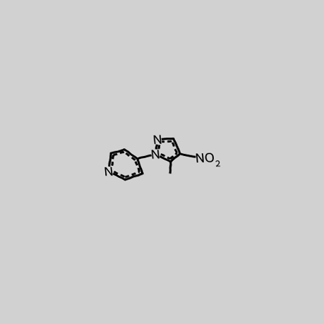 Cc1c([N+](=O)[O-])cnn1-c1ccncc1